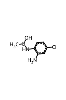 CB(O)Nc1ccc(Cl)cc1N